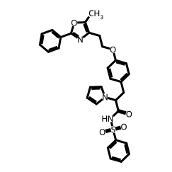 Cc1oc(-c2ccccc2)nc1CCOc1ccc(CC(C(=O)NS(=O)(=O)c2ccccc2)n2cccc2)cc1